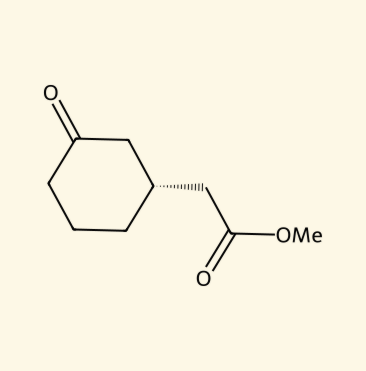 COC(=O)C[C@@H]1CCCC(=O)C1